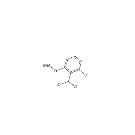 O=COc1cccc(Cl)c1C(Cl)Cl